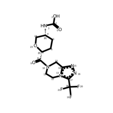 O=C(O)N[C@@H]1CC[C@H](C(=O)N2CCn3c(nnc3C(F)(F)F)C2)OC1